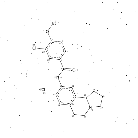 CCOc1ccc(C(=O)Nc2ccc3c(c2)C2CCCN2CC3)cc1Cl.Cl